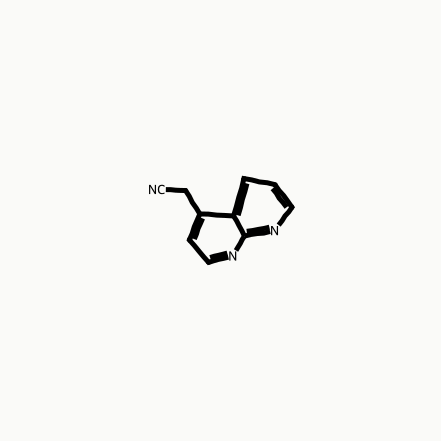 N#CCc1ccnc2ncccc12